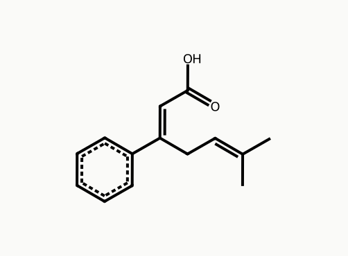 CC(C)=CCC(=CC(=O)O)c1ccccc1